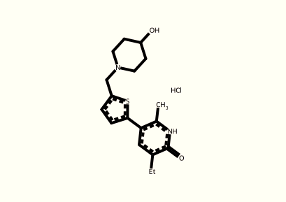 CCc1cc(-c2ccc(CN3CCC(O)CC3)s2)c(C)[nH]c1=O.Cl